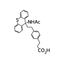 CC(=O)NC1(CCc2ccc(CCC(=O)O)cc2)c2ccccc2Sc2ccccc21